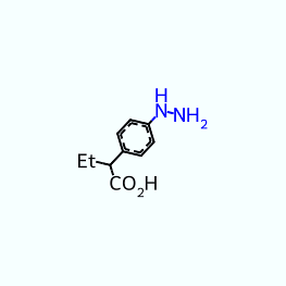 CCC(C(=O)O)c1ccc(NN)cc1